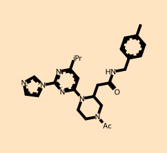 CC(=O)N1CCN(c2cc(C(C)C)nc(-n3ccnc3)n2)C(CC(=O)NCc2ccc(C)cc2)C1